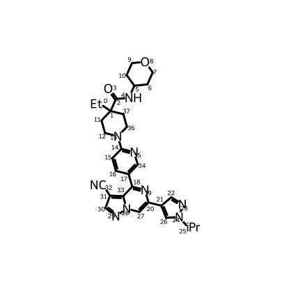 CCC1(C(=O)NC2CCOCC2)CCN(c2ccc(-c3nc(-c4cnn(C(C)C)c4)cn4ncc(C#N)c34)cn2)CC1